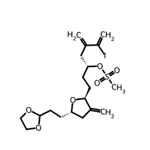 C=C(I)C(=C)C[C@@H](CC[C@@H]1O[C@@H](CCC2OCCO2)CC1=C)OS(C)(=O)=O